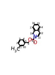 Cc1cccc(COC(=O)N2C=Cc3ccccc3C2)c1